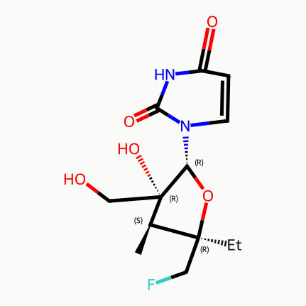 CC[C@@]1(CF)O[C@@H](n2ccc(=O)[nH]c2=O)[C@](O)(CO)[C@@H]1C